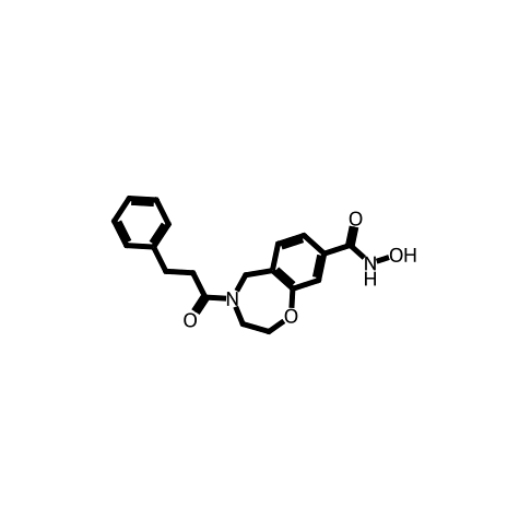 O=C(NO)c1ccc2c(c1)OCCN(C(=O)CCc1ccccc1)C2